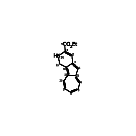 CCOC(=O)C1=Cc2cc3cccccc-3c2CN1